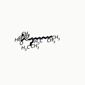 CC/C(C)=C/CC/C(C)=C/CC/C(=C/CSC[C@H](NC(C)=O)C(=O)O)CC=C(C)C